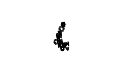 COc1ccc(N2CCN(c3cccc4nc(NC(=O)C5CC5)nn34)CC2)cc1